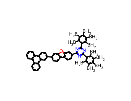 Bc1c(B)c(B)c(-c2nc(-c3ccc4c(c3)oc3cc(-c5ccc6c7ccccc7c7ccccc7c6c5)ccc34)nc(-c3c(B)c(B)c(B)c(B)c3B)n2)c(B)c1B